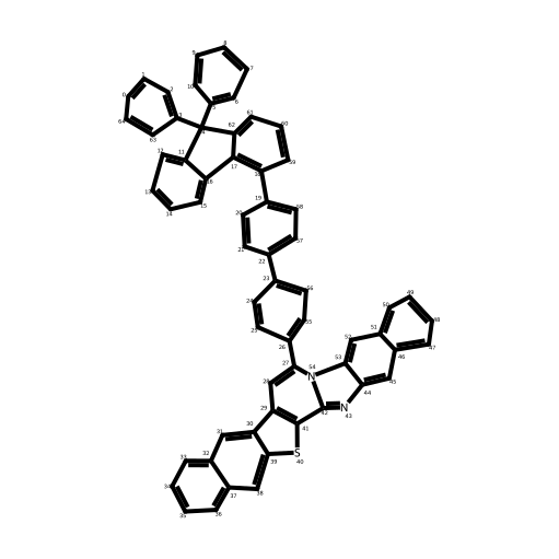 c1ccc(C2(c3ccccc3)c3ccccc3-c3c(-c4ccc(-c5ccc(-c6cc7c8cc9ccccc9cc8sc7c7nc8cc9ccccc9cc8n67)cc5)cc4)cccc32)cc1